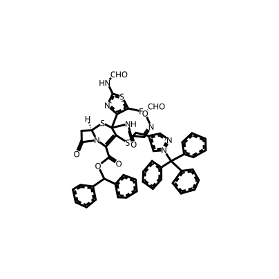 O=CNc1nc(C2(NC(=O)/C=N\OC=O)S[C@@H]3CC(=O)N3C(C(=O)OC(c3ccccc3)c3ccccc3)=C2SCc2cnn(C(c3ccccc3)(c3ccccc3)c3ccccc3)c2)c(F)s1